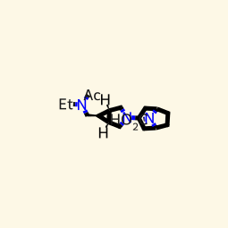 CCN(C[C@H]1[C@H]2CN(C3CC4CCC(C3)N4C(=O)O)C[C@@H]12)C(C)=O